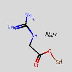 N=C(N)NCC(=O)OS.[NaH]